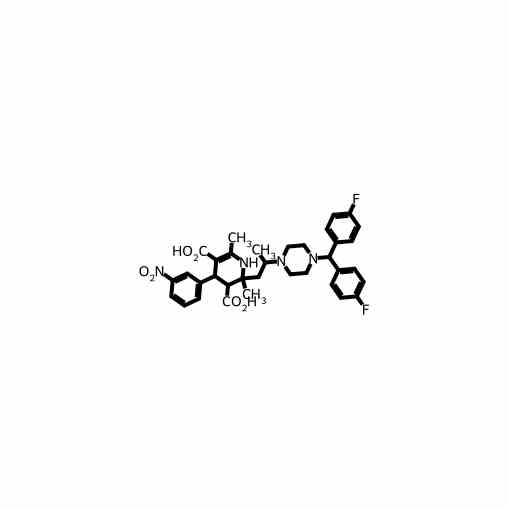 CC1=C(C(=O)O)C(c2cccc([N+](=O)[O-])c2)C(C(=O)O)C(C)(CC(C)N2CCN(C(c3ccc(F)cc3)c3ccc(F)cc3)CC2)N1